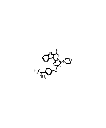 C=C(N)c1ccc(Oc2nc(N3CCOCC3)nc(-n3c(C(F)F)nc4ccccc43)n2)cc1